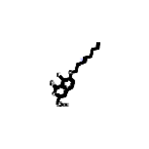 C=CCC/C=C/CCOc1ccc2cc(CCCCCCCCCC)oc(=O)c2c1F